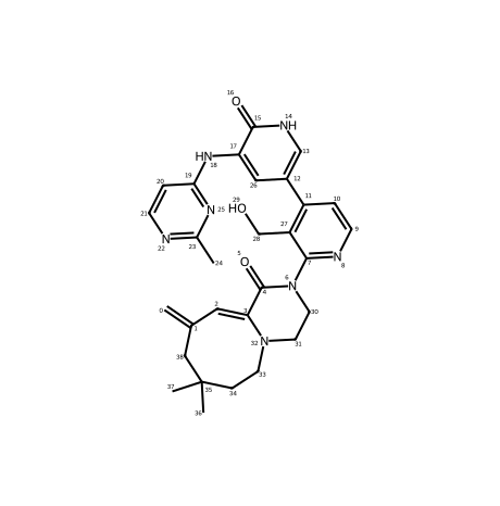 C=C1/C=C2/C(=O)N(c3nccc(-c4c[nH]c(=O)c(Nc5ccnc(C)n5)c4)c3CO)CCN2CCC(C)(C)C1